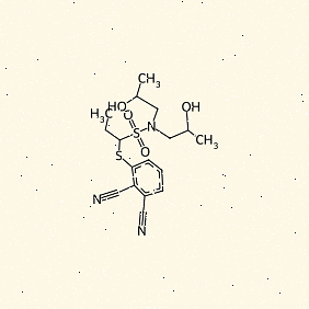 CCC(Sc1cccc(C#N)c1C#N)S(=O)(=O)N(CC(C)O)CC(C)O